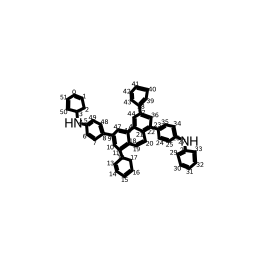 C1=CCC(Nc2ccc(-c3cc(C4C=CC=CC4)c4ccc5c(-c6ccc(Nc7ccccc7)cc6)cc(-c6ccccc6)cc5c4c3)cc2)C=C1